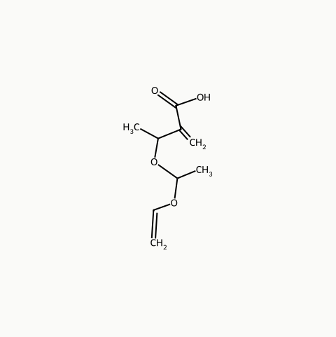 C=COC(C)OC(C)C(=C)C(=O)O